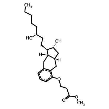 CCCCC[C@H](O)CC[C@@H]1[C@H]2Cc3cccc(OCCC(=O)OC)c3C[C@H]2C[C@H]1O